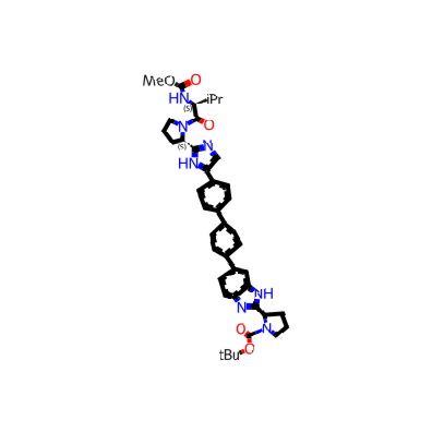 COC(=O)N[C@H](C(=O)N1CCC[C@H]1c1ncc(-c2ccc(-c3ccc(-c4ccc5nc(C6CCCN6C(=O)OC(C)(C)C)[nH]c5c4)cc3)cc2)[nH]1)C(C)C